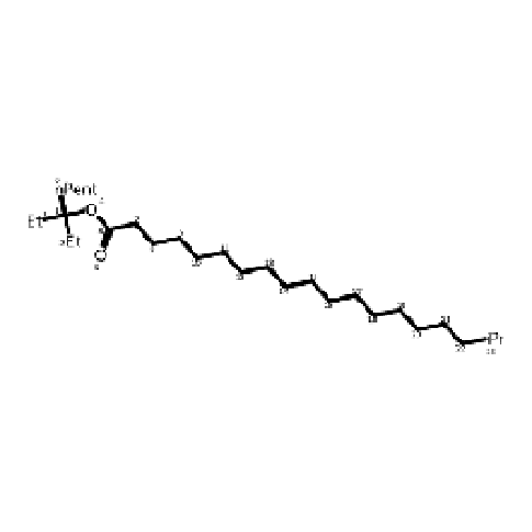 CCCCCC(CC)(CC)OC(=O)CCCCCCCCCCCCCCCCC(C)C